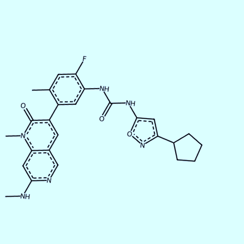 CNc1cc2c(cn1)cc(-c1cc(NC(=O)Nc3cc(C4CCCC4)no3)c(F)cc1C)c(=O)n2C